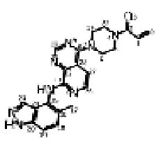 C=CC(=O)N1CCN(c2ncnc3c(Nc4c(C)ccc5[nH]ncc45)nccc23)CC1